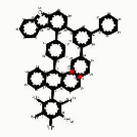 [2H]c1c([2H])c([2H])c(-c2c3ccccc3c(-c3ccc(-c4c(-c5cc(-c6ccccc6)cc(-c6ccccc6)c5)ccc5oc6ccccc6c45)cc3)c3ccccc23)c([2H])c1[2H]